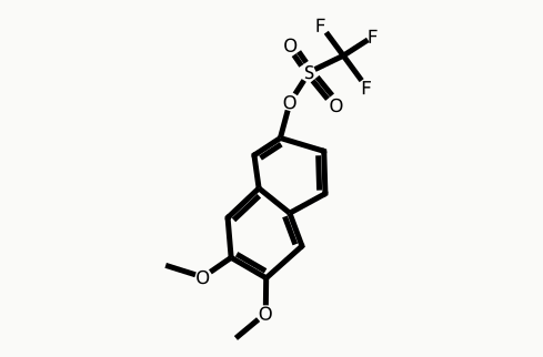 COc1cc2ccc(OS(=O)(=O)C(F)(F)F)cc2cc1OC